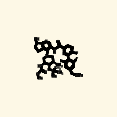 COCc1cc(F)c(-c2nc(C(=O)Nc3cnc4c(c3N3C[C@H](C)[C@@H](O[Si](C)(C)C(C)(C)C)[C@H](NC(=O)OC(C)(C)C)C3)CCC4O)ccc2F)c(F)c1